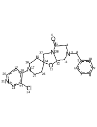 O=C1CN(Cc2ccccc2)CC2OC3(CCN(c4ccncc4Cl)CC3)CN12